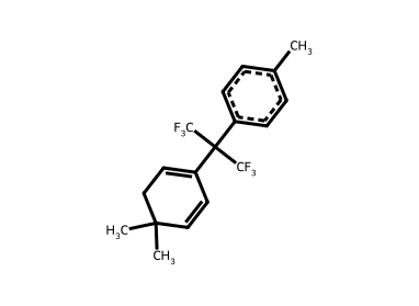 Cc1ccc(C(C2=CCC(C)(C)C=C2)(C(F)(F)F)C(F)(F)F)cc1